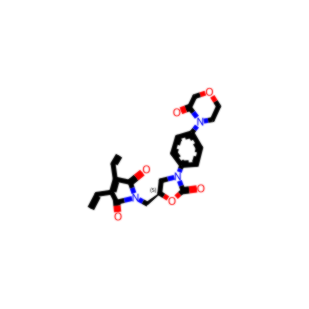 C=CC1=C(C=C)C(=O)N(C[C@H]2CN(c3ccc(N4CCOCC4=O)cc3)C(=O)O2)C1=O